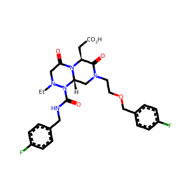 CCN1CC(=O)N2[C@@H](CC(=O)O)C(=O)N(CCOCc3ccc(F)cc3)C[C@@H]2N1C(=O)NCc1ccc(F)cc1